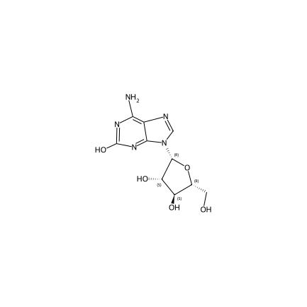 Nc1nc(O)nc2c1ncn2[C@@H]1O[C@H](CO)[C@@H](O)[C@@H]1O